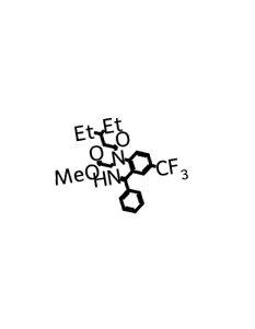 CCC(CC)CC(=O)N(CC(=O)OC)c1ccc(C(F)(F)F)cc1C(=N)c1ccccc1